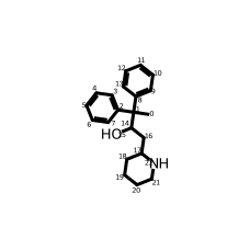 CC(c1ccccc1)(c1ccccc1)C(O)CC1CCCCN1